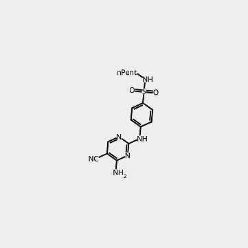 CCCCCNS(=O)(=O)c1ccc(Nc2ncc(C#N)c(N)n2)cc1